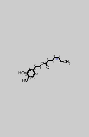 CC/C=C\CCC(=O)OCCc1ccc(O)c(O)c1